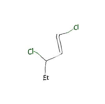 CCC(Cl)C=CCl